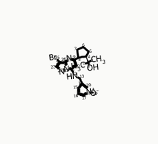 CC(C)(O)[C@@H]1CCCC1c1cc(NCc2ccc[n+]([O-])c2)n2ncc(Br)c2n1